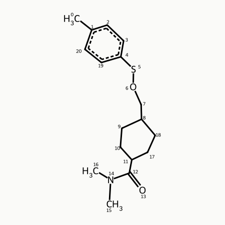 Cc1ccc(SOCC2CCC(C(=O)N(C)C)CC2)cc1